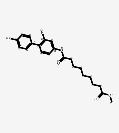 COC(=O)CCCCCCCC(=O)Oc1ccc(-c2ccc(F)cc2)c(F)c1